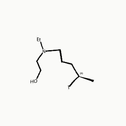 CCN(CCO)CCC[C@@H](C)I